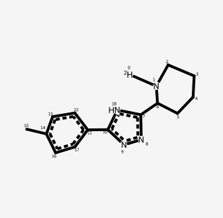 [2H]N1CCCCC1c1nnc(-c2ccc(C)cc2)[nH]1